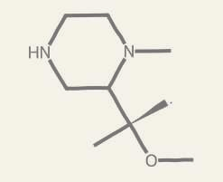 [CH2][C@](C)(OC)C1CNCCN1C